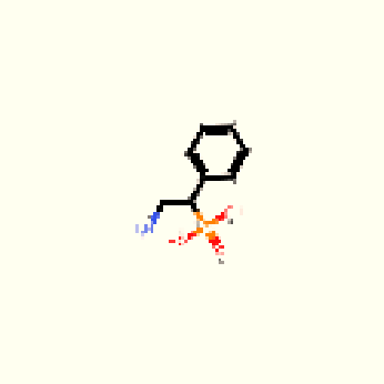 NCC(c1ccccc1)P(=O)(O)O